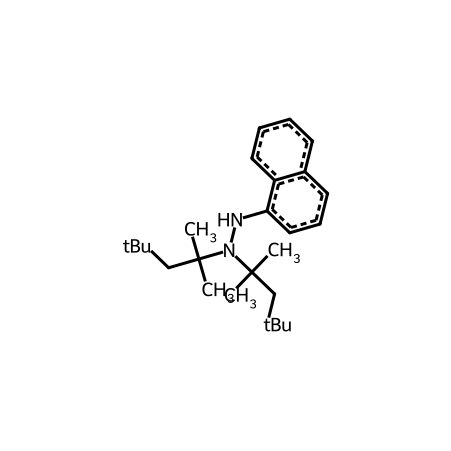 CC(C)(C)CC(C)(C)N(Nc1cccc2ccccc12)C(C)(C)CC(C)(C)C